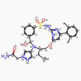 Cc1cccc(C)c1-c1cc2nc(n1)NS(=O)(=O)c1cccc(c1)C(O)N(c1cnn(CC(N)=O)c1)[C@H](CC(C)(C)C)CO2